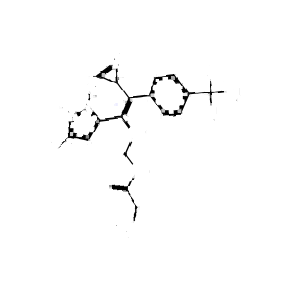 CCC(=O)OCO/C(=C(\c1ccc(C(C)(C)C)cc1)C1C=N1)c1cc(C)nn1C